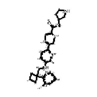 O=C(NC1CCNC1)C1=CN=C(c2ccc(NCC3(c4ncccc4F)CCC3)nn2)CS1